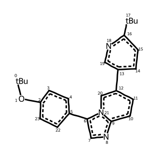 CC(C)(C)Oc1ccc(-c2cnc3ccc(-c4ccc(C(C)(C)C)nc4)cn23)cc1